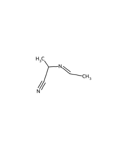 CC=NC(C)C#N